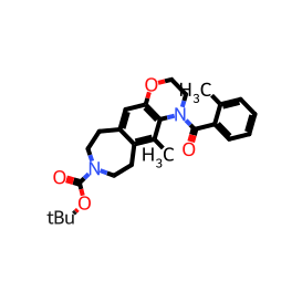 Cc1ccccc1C(=O)N1CCOc2cc3c(c(C)c21)CCN(C(=O)OC(C)(C)C)CC3